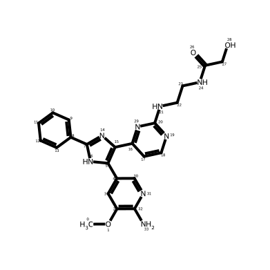 COc1cc(-c2[nH]c(-c3ccccc3)nc2-c2ccnc(NCCNC(=O)CO)n2)cnc1N